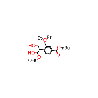 CCCCOC(=O)c1ccc(C(CO)C(O)OC=O)c(C)c1.CCOCC